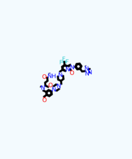 CNC(=O)CCC(C=O)N(C)Cc1cc(N2CCN(CC3CCN(Cc4cc(C(F)(F)F)c5cn(-c6cccc(Cc7nncn7C)c6)c(=O)n5c4)CC3)CC2)ccc1C=O